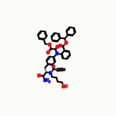 COC(=O)N(CCCCO)[C@@H](Cc1ccc(N(C(=O)C(=O)OCc2ccccc2)c2ccccc2C(=O)OC(c2ccccc2)c2ccccc2)cc1)C(N)=O